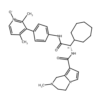 Cc1cc[n+]([O-])c(C)c1-c1ccc(NC(=O)[C@@H](NC(=O)c2ccn3c2CN(C)CC3)C2CCCCCC2)cc1